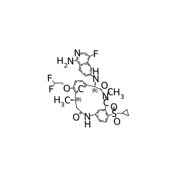 C[C@@H]1CC(=O)Nc2ccc(S(=O)(=O)C3CC3)c(c2)CN(C)C(=O)[C@H](Nc2ccc3c(N)ncc(F)c3c2)c2ccc(OCC(F)F)c1c2